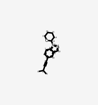 CC(C)C#Cc1ccc2c(cnn2C2CCCCO2)c1